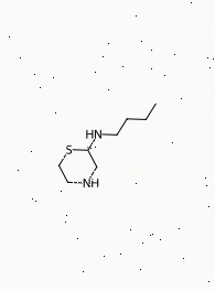 CCCCN[C]1CNCCS1